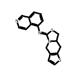 c1cc(N=C2SCC3Cc4sccc4CN23)c2ccncc2c1